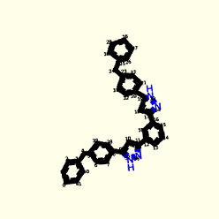 c1ccc(Cc2ccc(-c3cc(-c4cccc(-c5cc(-c6ccc(Cc7ccccc7)cc6)[nH]n5)c4)n[nH]3)cc2)cc1